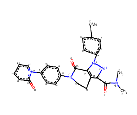 COc1ccc(N2NC(C(=O)N(C)C)C3=C2C(=O)N(c2ccc(-n4ccccc4=O)cc2)CC3)cc1